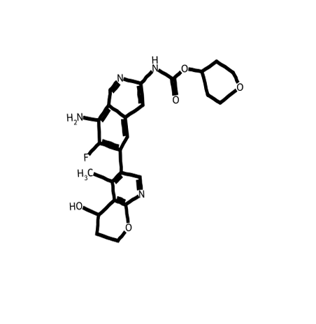 Cc1c(-c2cc3cc(NC(=O)OC4CCOCC4)ncc3c(N)c2F)cnc2c1C(O)CCO2